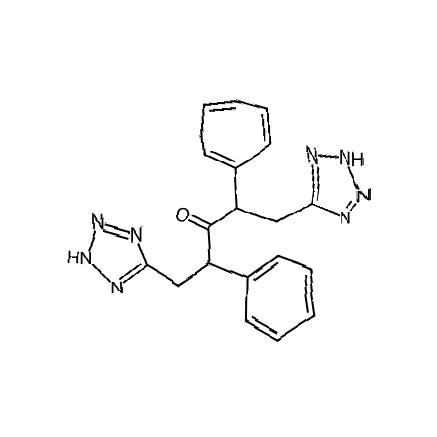 O=C(C(Cc1nn[nH]n1)c1ccccc1)C(Cc1nn[nH]n1)c1ccccc1